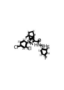 CC12CCC(c3c(C(=O)NNc4ccc(F)cc4F)nn(-c4ccc(Cl)cc4Cl)c31)C2(C)C